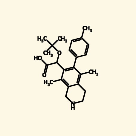 Cc1ccc(-c2c(C)c3c(c(C)c2C(OC(C)(C)C)C(=O)O)CNCC3)cc1